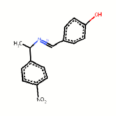 CC(/N=C/c1ccc(O)cc1)c1ccc([N+](=O)[O-])cc1